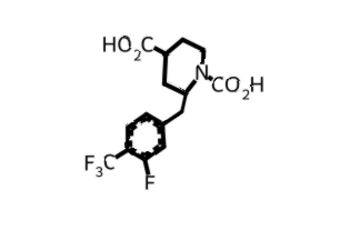 O=C(O)C1CCN(C(=O)O)C(Cc2ccc(C(F)(F)F)c(F)c2)C1